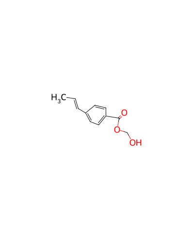 CC=Cc1ccc(C(=O)OCO)cc1